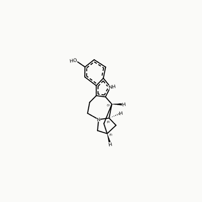 Oc1ccc2[nH]c3c(c2c1)CCN1C[C@@H]2C[C@H]3[C@H]1C2